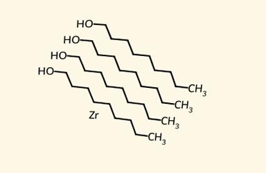 CCCCCCCCCO.CCCCCCCCCO.CCCCCCCCCO.CCCCCCCCCO.[Zr]